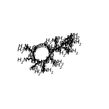 NCCCC[C@@H]1NC(=O)[C@H](CCCN=C(N)N)NC(=O)CCCCC(=O)NCCCN(CC(=O)N[C@@H](CCCN=C(N)N)C(=O)N[C@@H](CCCN=C(N)N)C(=O)N[C@@H](CCCN=C(N)N)C(=O)N[C@@H](CS)C(N)=O)C(=O)[C@H](CCCN=C(N)N)NC(=O)[C@H](CCCN=C(N)N)NC(=O)[C@H](CCCCN)NC1=O